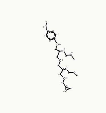 COCOC(COCC(COc1ccc(OC)cc1)OCOC)COCC1CO1